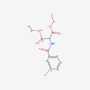 CCOC(=O)C(NC(=O)c1cccc(I)c1)C(=O)OCC